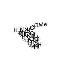 [2H]c1c([2H])c(N2CC([2H])([2H])c3c(C(N)=O)nn(-c4ccc(OC)cc4)c3C2=O)c([2H])c([2H])c1N1CC([2H])([2H])C([2H])([2H])CC1=O